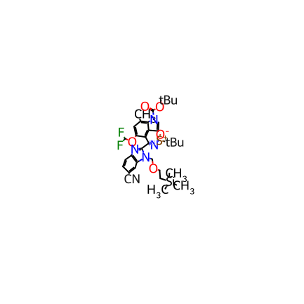 Cc1cc(OC(F)F)c(/C(=N\[S+]([O-])C(C)(C)C)c2nc3ccc(C#N)cc3n2COCC[Si](C)(C)C)c2ccn(C(=O)OC(C)(C)C)c12